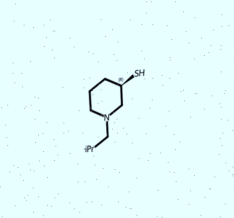 C[C](C)CN1CCC[C@@H](S)C1